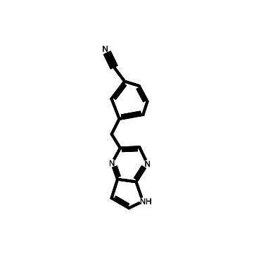 N#Cc1cccc(Cc2cnc3[nH]ccc3n2)c1